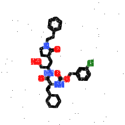 O=C(N[C@@H](CC1CCCCC1)C(=O)NC(CO)CC1CCN(CCc2ccccc2)C1=O)OCc1cccc(Cl)c1